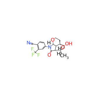 C[C@@]12C[C@@H](O)[C@]3(CCO[C@H]4[C@@H]3[C@@H]1C(=O)N4c1ccc(C#N)c(C(F)(F)F)c1)O2